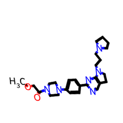 COCC(=O)N1CCN(c2ccc(-c3ncc4c(n3)N(CCCN3CCCC3)CC4)cc2)CC1